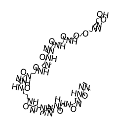 Cn1cc(NC(=O)c2nc(NC(=O)CCNC(=O)c3cc(NC(=O)c4nccn4C)cn3C)cn2C)cc1C(=O)NCCCC(=O)Nc1cn(C)c(C(=O)NCCC(=O)Nc2cc(C(=O)Nc3cn(C)c(C(=O)NCCC(=O)NCCOCCOCCn4cc(CC(=O)O)nn4)n3)n(C)c2)n1